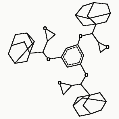 c1c(OC(C2CO2)C23CC4CC(CC(C4)C2)C3)cc(OC(C2CO2)C23CC4CC(CC(C4)C2)C3)cc1OC(C1CO1)C12CC3CC(CC(C3)C1)C2